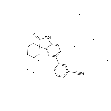 N#Cc1cccc(-c2ccc3c(c2)C2(CCCCC2)C(=S)N3)c1